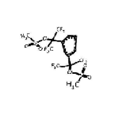 CS(=O)(=O)OC(c1cccc(C(OS(C)(=O)=O)(C(F)(F)F)C(F)(F)F)c1)(C(F)(F)F)C(F)(F)F